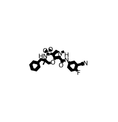 Cn1cc2c(c1C(=O)Nc1ccc(F)c(C#N)c1)OC[C@](C)(Cc1ccccc1)NS2(=O)=O